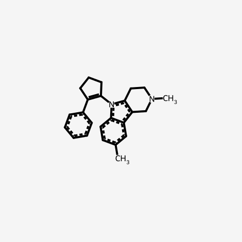 Cc1ccc2c(c1)c1c(n2C2=C(c3ccccc3)CCC2)CCN(C)C1